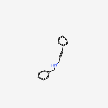 C(#Cc1ccccc1)CNCc1ccccc1